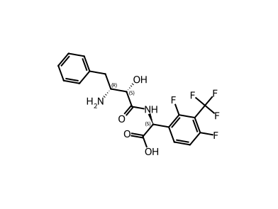 N[C@H](Cc1ccccc1)[C@H](O)C(=O)N[C@H](C(=O)O)c1ccc(F)c(C(F)(F)F)c1F